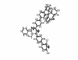 CCC1C(c2ccccc2)=NC(c2ccc(-c3ccc4c(c3)C3(c5ccccc5Sc5ccccc53)c3ccccc3-4)cc2)=NC1c1ccc(-c2ccc(C)nc2C)cc1